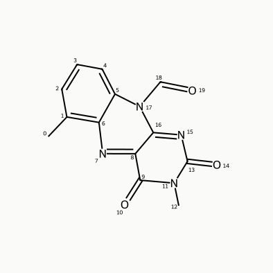 Cc1cccc2c1nc1c(=O)n(C)c(=O)nc-1n2C=O